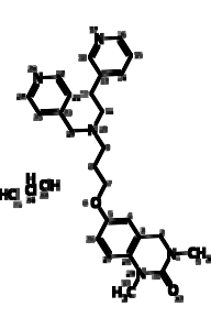 CN1Cc2cc(OCCCN(CCc3cccnc3)Cc3ccncc3)ccc2N(C)C1=O.Cl.Cl.Cl